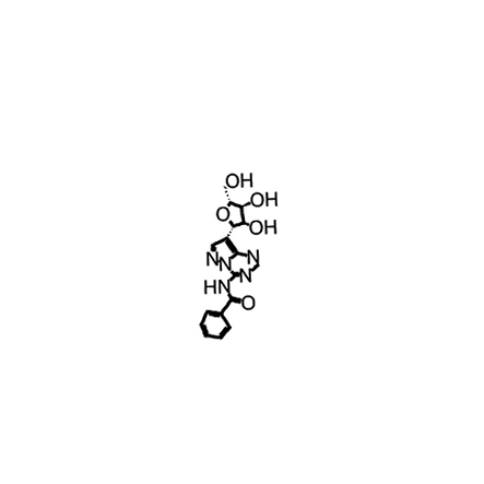 O=C(Nc1ncnc2c([C@@H]3O[C@H](CO)[C@@H](O)[C@H]3O)cnn12)c1ccccc1